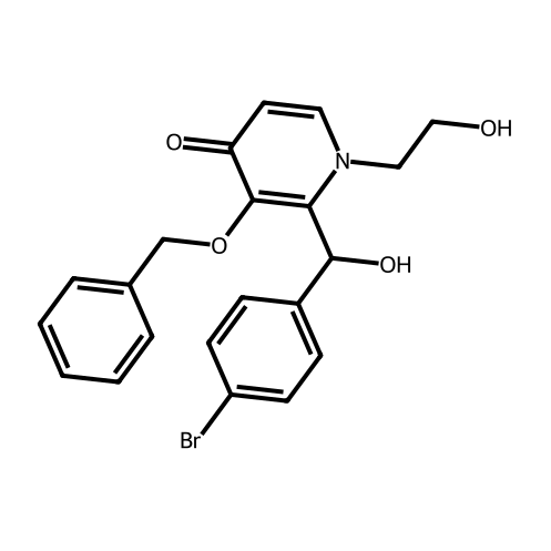 O=c1ccn(CCO)c(C(O)c2ccc(Br)cc2)c1OCc1ccccc1